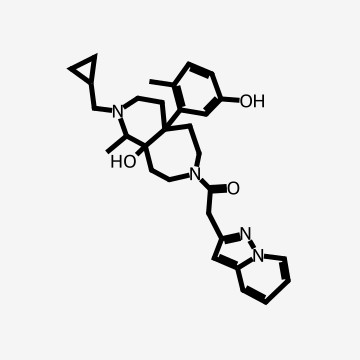 Cc1ccc(O)cc1C12CCN(C(=O)Cc3cc4ccccn4n3)CCC1(O)C(C)N(CC1CC1)CC2